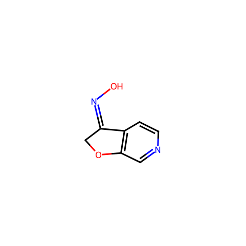 O/N=C1/COc2cnccc21